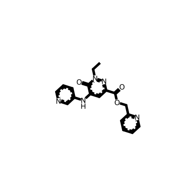 CCn1nc(C(=O)OCc2ccccn2)cc(Nc2cccnc2)c1=O